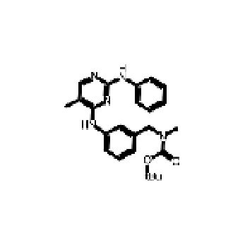 Cc1cnc(Nc2ccccc2)nc1Nc1cccc(CN(C)C(=O)OC(C)(C)C)c1